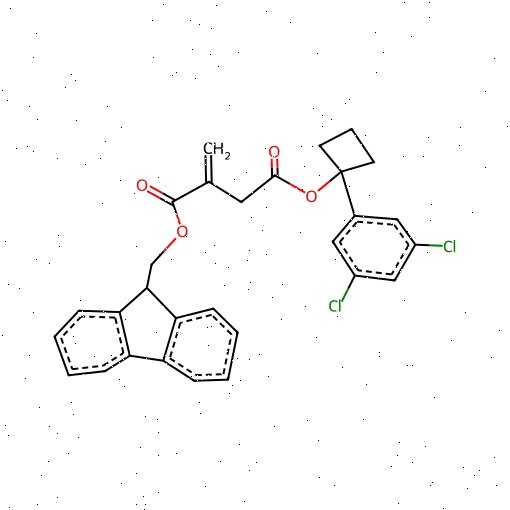 C=C(CC(=O)OC1(c2cc(Cl)cc(Cl)c2)CCC1)C(=O)OCC1c2ccccc2-c2ccccc21